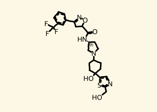 O=C(N[C@@H]1CCN(C2CCC(O)(c3cnc(CO)s3)CC2)C1)C1CC(c2cccc(C(F)(F)F)c2)=NO1